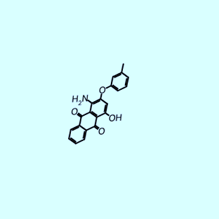 Cc1cccc(Oc2cc(O)c3c(c2N)C(=O)c2ccccc2C3=O)c1